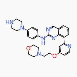 c1cc(-c2cc(OCCN3CCOCC3)ccn2)c2nc(Nc3ccc(N4CCNCC4)cc3)ncc2c1